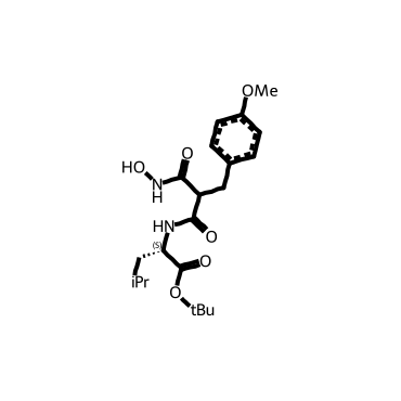 COc1ccc(CC(C(=O)NO)C(=O)N[C@@H](CC(C)C)C(=O)OC(C)(C)C)cc1